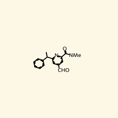 CNC(=O)c1cc(C=O)cc(C(C)c2ccccc2)n1